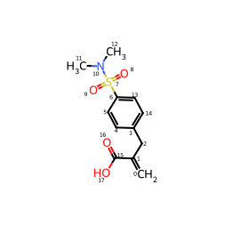 C=C(Cc1ccc(S(=O)(=O)N(C)C)cc1)C(=O)O